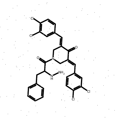 NNC(Cc1ccccc1)C(=O)N1C/C(=C\c2ccc(Cl)c(Cl)c2)C(=O)/C(=C/c2ccc(Cl)c(Cl)c2)C1